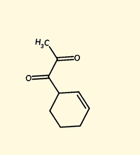 CC(=O)C(=O)C1C=CCCC1